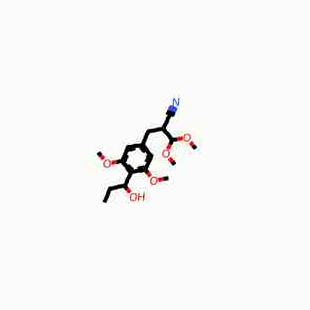 CCC(O)c1c(OC)cc(CC(C#N)C(OC)OC)cc1OC